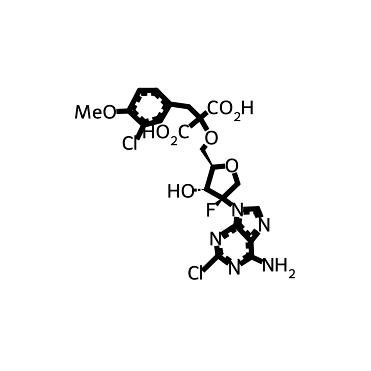 COc1ccc(CC(OC[C@H]2OC[C@](F)(n3cnc4c(N)nc(Cl)nc43)[C@@H]2O)(C(=O)O)C(=O)O)cc1Cl